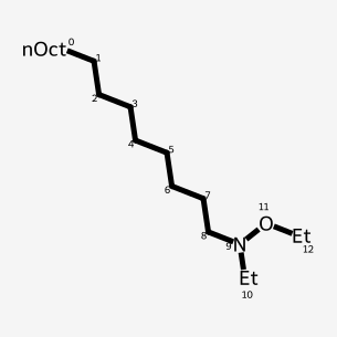 CCCCCCCCCCCCCCCCN(CC)OCC